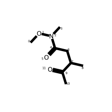 CON(C)C(=O)CC(C)C(C)=O